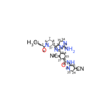 CC#CC(=O)N1CCCC(c2nc(-c3ccc(C(=O)Nc4cc(C#N)ccn4)cc3C#N)n3c(N)nccc23)C1